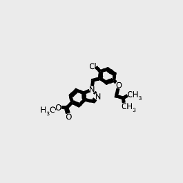 COC(=O)c1ccc2c(cnn2Cc2cc(OCC(C)C)ccc2Cl)c1